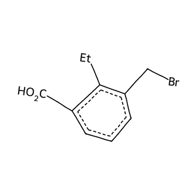 CCc1c(CBr)cccc1C(=O)O